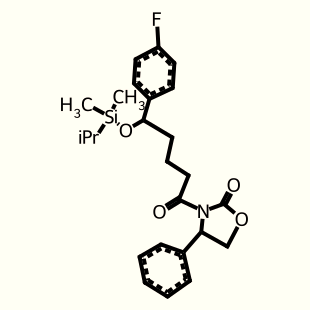 CC(C)[Si](C)(C)OC(CCCC(=O)N1C(=O)OCC1c1ccccc1)c1ccc(F)cc1